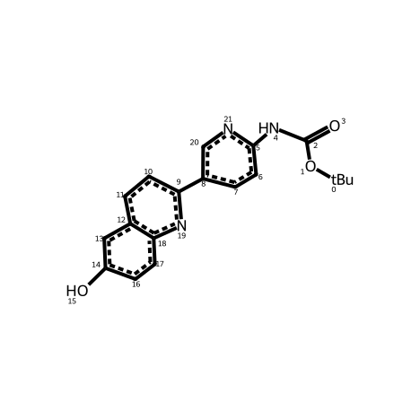 CC(C)(C)OC(=O)Nc1ccc(-c2ccc3cc(O)ccc3n2)cn1